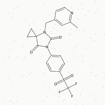 Cc1cc(CN2C(=O)N(c3ccc(S(=O)(=O)C(F)(F)F)cc3)C(=O)C23CC3)ccn1